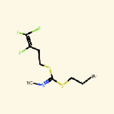 CC(C)CCSC(=NC#N)SCCC(F)=C(F)F